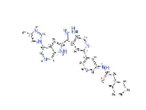 Cc1cn(-c2cncc3[nH]c(-c4n[nH]c5cnc(-c6cncc(NC(=O)CC7CCCCC7)c6)cc45)cc23)cn1